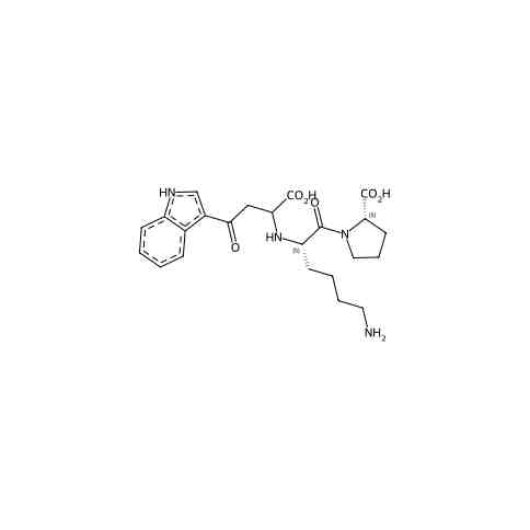 NCCCC[C@H](NC(CC(=O)c1c[nH]c2ccccc12)C(=O)O)C(=O)N1CCC[C@H]1C(=O)O